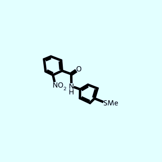 CSc1ccc(NC(=O)c2ccccc2[N+](=O)[O-])cc1